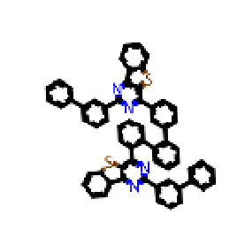 C1=CC2Sc3c(-c4ccccc4-c4ccccc4-c4cccc(-c5nc(-c6cccc(-c7ccccc7)c6)nc6c5sc5ccccc56)c4)nc(-c4cccc(-c5ccccc5)c4)nc3C2C=C1